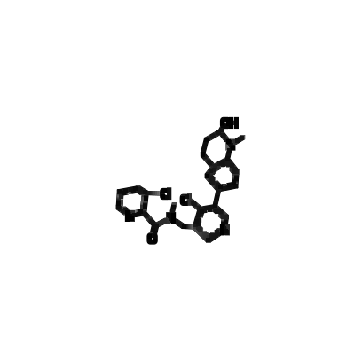 CN(Cc1cncc(-c2ccc3c(c2)CCC(O)N3C)c1Cl)C(=O)c1ncccc1Cl